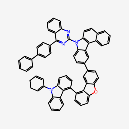 C1=CC(n2c3ccccc3c3c(-c4cccc5oc6ccc(-c7ccc8c(c7)c7c9ccccc9ccc7n8-c7nc(-c8ccc(-c9ccccc9)cc8)c8ccccc8n7)cc6c45)cccc32)=CCC1